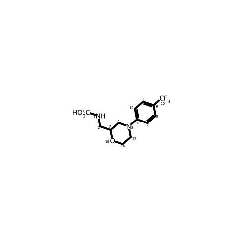 O=C(O)NCC1CN(c2ccc(C(F)(F)F)cc2)CCO1